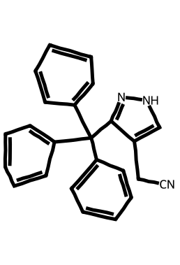 N#CCc1c[nH]nc1C(c1ccccc1)(c1ccccc1)c1ccccc1